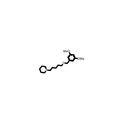 COc1cc(COCCCCCN2CC[CH]CC2)cc(OC)c1